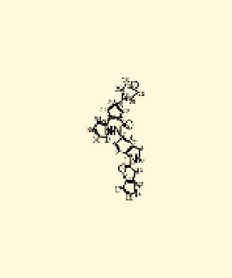 O=C(Nc1ccc2c(c1)CCN2C(=O)Cc1ccccn1)c1cc(N2CCOCC2)ccc1-c1ccccc1